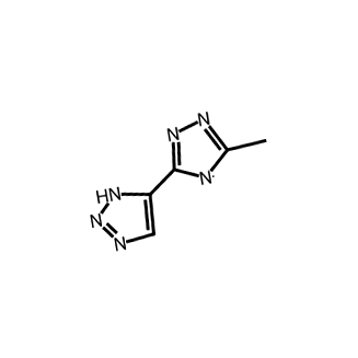 CC1=NN=C(c2cnn[nH]2)[N]1